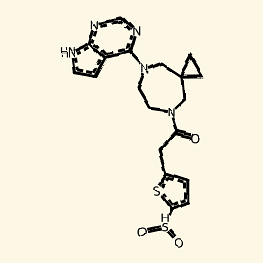 O=C(Cc1ccc([SH](=O)=O)s1)N1CCN(c2ncnc3[nH]ccc23)CC2(CC2)C1